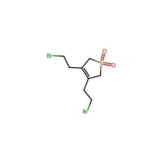 O=S1(=O)CC(CCBr)=C(CCBr)C1